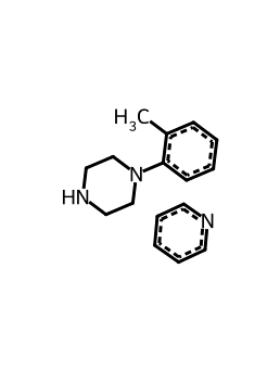 Cc1ccccc1N1CCNCC1.c1ccncc1